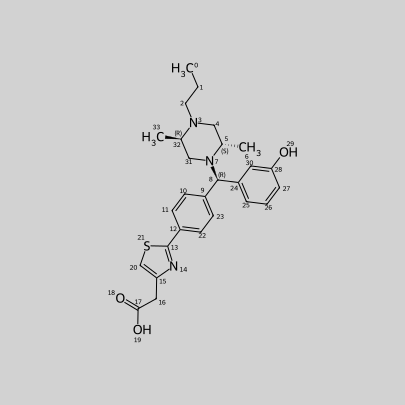 CCCN1C[C@H](C)N([C@H](c2ccc(-c3nc(CC(=O)O)cs3)cc2)c2cccc(O)c2)C[C@H]1C